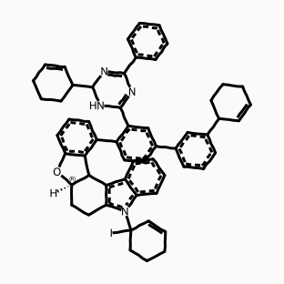 IC1(n2c3c(c4ccccc42)C2c4c(cccc4-c4ccc(-c5cccc(C6C=CCCC6)c5)cc4C4=NC(c5ccccc5)=NC(C5C=CCCC5)N4)O[C@@H]2CC3)C=CCCC1